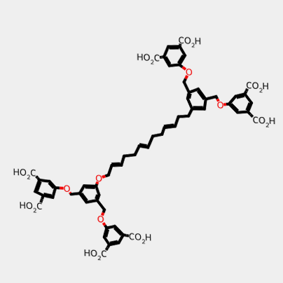 O=C(O)c1cc(OCc2cc(CC/C=C/CC/C=C/CC/C=C/COc3cc(COc4cc(C(=O)O)cc(C(=O)O)c4)cc(COc4cc(C(=O)O)cc(C(=O)O)c4)c3)cc(COc3cc(C(=O)O)cc(C(=O)O)c3)c2)cc(C(=O)O)c1